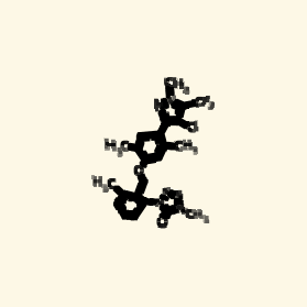 Cc1cc(-c2nn(C)c(C(F)(F)F)c2Cl)c(C)cc1OCc1c(C)cccc1-n1nnn(C)c1=O